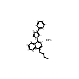 CCCCc1cnc(-n2cnc(-c3ccccc3)c2)c2ccccc12.Cl